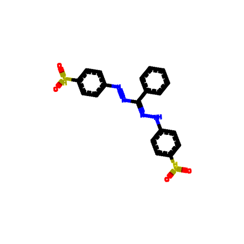 O=[SH](=O)c1ccc(N=N/C(=N/Nc2ccc([SH](=O)=O)cc2)c2ccccc2)cc1